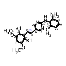 COc1cc(OC)c(Cl)c(/C=C/c2cnc(Nc3c(C)cccc3N)nc2)c1Cl